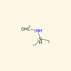 C[SiH](C)NC=O